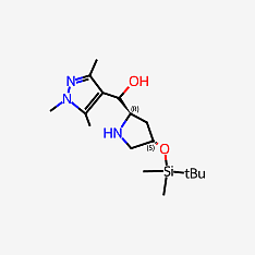 Cc1nn(C)c(C)c1C(O)[C@H]1C[C@H](O[Si](C)(C)C(C)(C)C)CN1